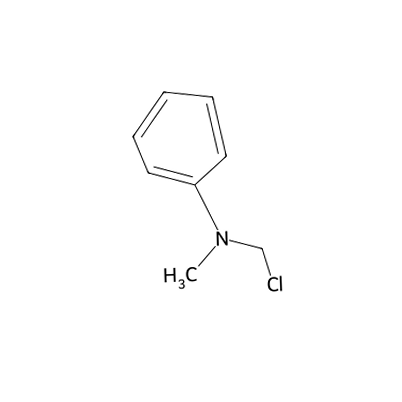 CN(CCl)c1ccccc1